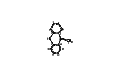 C=C1c2ccccc2Sc2ccccc21